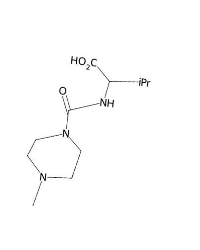 CC(C)C(NC(=O)N1CCN(C)CC1)C(=O)O